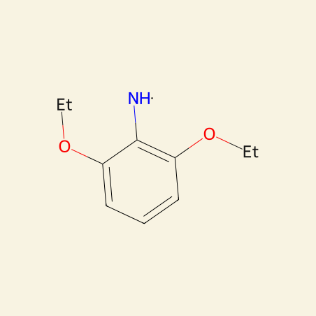 CCOc1cccc(OCC)c1[NH]